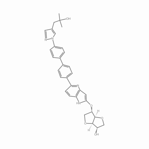 CC(C)(O)Cc1cnn(-c2ccc(-c3ccc(-c4ccc5[nH]c(O[C@@H]6CO[C@H]7[C@@H]6OC[C@H]7O)cc5n4)cc3)cc2)c1